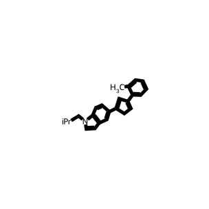 Cc1ccccc1C1=CCC(c2ccc3c(ccn3CC(C)C)c2)=C1